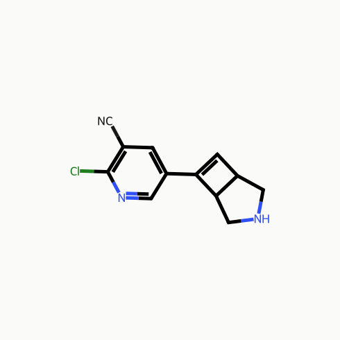 N#Cc1cc(C2=CC3CNCC23)cnc1Cl